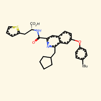 CC(C)(C)c1ccc(Oc2ccc3cc(C(=O)N[C@H](Cc4cccs4)C(=O)O)nc(CC4CCCC4)c3c2)cc1